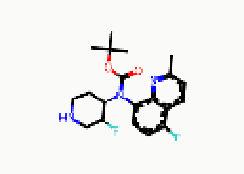 Cc1ccc2c(F)ccc(N(C(=O)OC(C)(C)C)[C@@H]3CCNC[C@@H]3F)c2n1